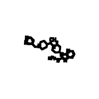 C=C(C1CCN(Cc2ccnnc2)CC1)N1CCC(n2c(SCCC)nc3cccnc32)CC1